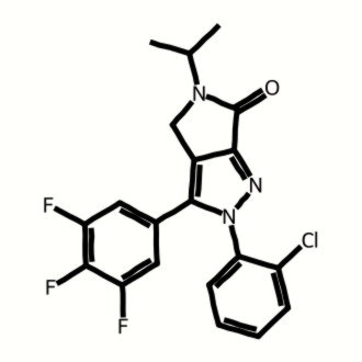 CC(C)N1Cc2c(nn(-c3ccccc3Cl)c2-c2cc(F)c(F)c(F)c2)C1=O